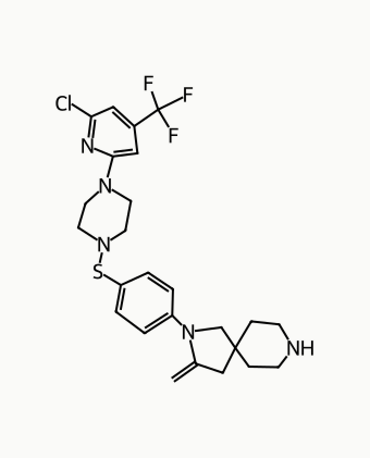 C=C1CC2(CCNCC2)CN1c1ccc(SN2CCN(c3cc(C(F)(F)F)cc(Cl)n3)CC2)cc1